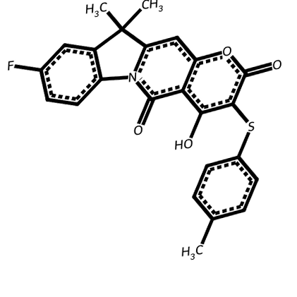 Cc1ccc(Sc2c(O)c3c(=O)n4c(cc3oc2=O)C(C)(C)c2cc(F)ccc2-4)cc1